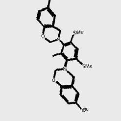 CSc1cc(SC)c(N2COc3ccc(C(C)(C)C)cc3C2)c(C)c1N1COc2ccc(C(C)(C)C)cc2C1